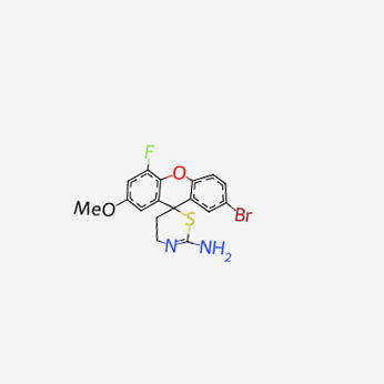 COc1cc(F)c2c(c1)C1(CCN=C(N)S1)c1cc(Br)ccc1O2